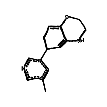 Cc1cncc(C2C=C3NCCOC3=CC2)c1